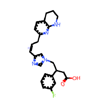 O=C(O)CC(Cn1cnc(/C=C\Cc2ccc3c(n2)NCCC3)c1)c1cccc(F)c1